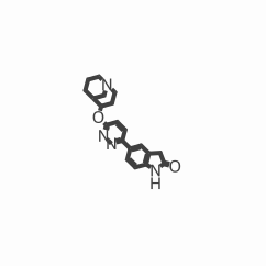 O=C1Cc2cc(-c3ccc(OC4CCN5CCCC4C5)nn3)ccc2N1